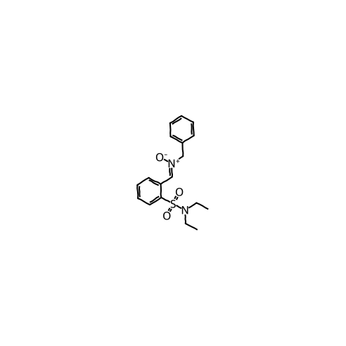 CCN(CC)S(=O)(=O)c1ccccc1C=[N+]([O-])Cc1ccccc1